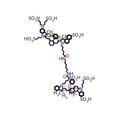 CC1(C)C(/C=C/C2=C(Oc3ccc(S(=O)(=O)O)cc3)C(=C/C=C3/N(CCCCS(=O)(=O)O)c4ccc(S(=O)(=O)O)cc4C3(C)C)/CCC2)=[N+](CCCCCC(=O)NCCCCCCNC(=O)CCCCC[N+]2=C(/C=C/C3=C(c4ccccc4F)C(=C/C=C4/N(CCCS(=O)(=O)O)c5ccc(N(CCCS(=O)(=O)O)CCCS(=O)(=O)O)cc5C4(C)C)/CCC3)C(C)(C)c3c2ccc2cc(S(=O)(=O)O)ccc32)c2ccccc21